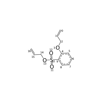 C=CCOc1ccccc1S(=O)(=O)OCC=C